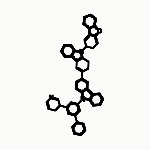 C1=CN=CC(c2cc(-c3ccccc3)cc(-n3c4ccccc4c4cc(C5=Cc6c(n(C7C=c8c(oc9ccccc89)=CC7)c7ccccc67)CC5)ccc43)c2)C1